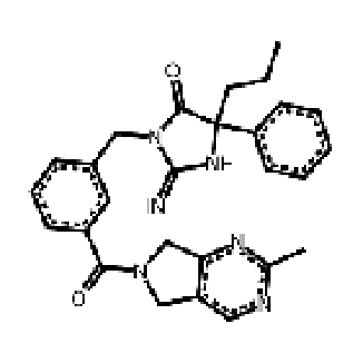 CCCC1(c2ccccc2)NC(=N)N(Cc2cccc(C(=O)N3Cc4cnc(C)nc4C3)c2)C1=O